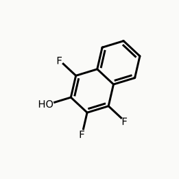 Oc1c(F)c(F)c2ccccc2c1F